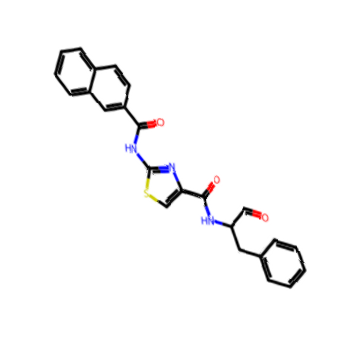 O=CC(Cc1ccccc1)NC(=O)c1csc(NC(=O)c2ccc3ccccc3c2)n1